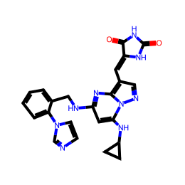 O=C1NC(=O)/C(=C/c2cnn3c(NC4CC4)cc(NCc4ccccc4-n4ccnc4)nc23)N1